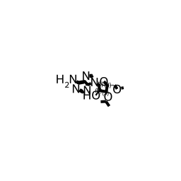 COC[C@H]1O[C@@H](n2cnc3c(N)ncnc32)[C@H](O)[C@@H]1OC(C)C